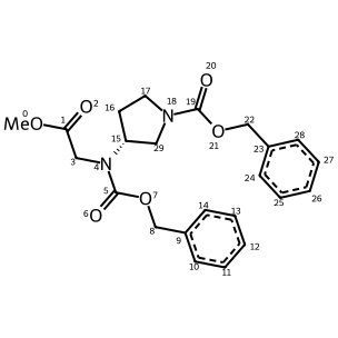 COC(=O)CN(C(=O)OCc1ccccc1)[C@@H]1CCN(C(=O)OCc2ccccc2)C1